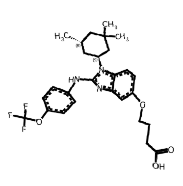 C[C@H]1C[C@H](n2c(Nc3ccc(OC(F)(F)F)cc3)nc3cc(OCCCC(=O)O)ccc32)CC(C)(C)C1